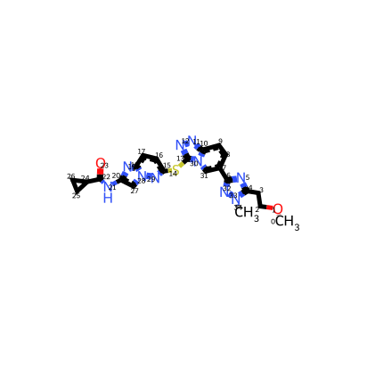 COCCc1nc(-c2ccc3nnc(Sc4ccc5nc(NC(=O)C6CC6)cn5n4)n3c2)nn1C